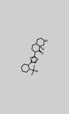 O=C1[C@H]2CNCCN2CCN1c1ncc([C@@H]2CCCC[C@@H]2C(F)(F)F)s1